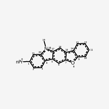 CCCc1ccc2c3cc4oc5ccccc5c4cc3n(C)c2c1